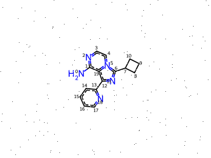 Nc1nccn2c(C3CCC3)nc(-c3ccccn3)c12